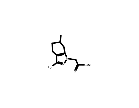 COC(=O)Cn1nc(C(F)(F)F)c2c1CC(C)CC2